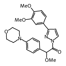 COc1ccc(-c2ccn(C(=O)C(OC)c3ccc(N4CCOCC4)cc3)n2)cc1OC